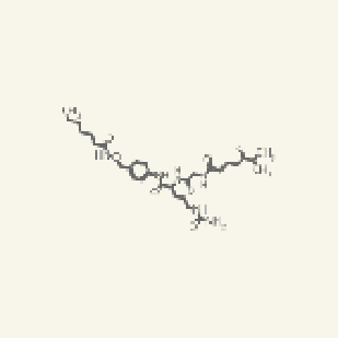 CCCCCCC(=O)NOCc1ccc(NC(=O)C(CCCNC(N)=O)NC(=O)CNC(=O)CCCC(=O)C(C)C)cc1